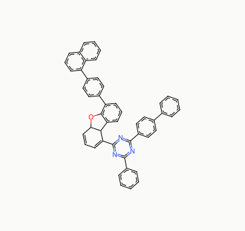 C1=CC2Oc3c(-c4ccc(-c5cccc6ccccc56)cc4)cccc3C2C(c2nc(-c3ccccc3)nc(-c3ccc(-c4ccccc4)cc3)n2)=C1